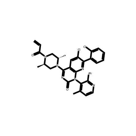 C=CC(=O)N1C[C@H](C)N(c2nc(=O)n(-c3c(C)ccnc3C(C)C)c3nc(-c4ccccc4Cl)c(Cl)cc23)C[C@H]1C